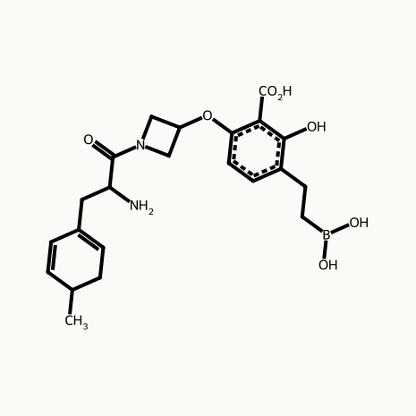 CC1C=CC(CC(N)C(=O)N2CC(Oc3ccc(CCB(O)O)c(O)c3C(=O)O)C2)=CC1